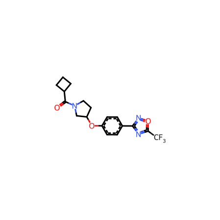 O=C(C1CCC1)N1CCC(Oc2ccc(-c3noc(C(F)(F)F)n3)cc2)C1